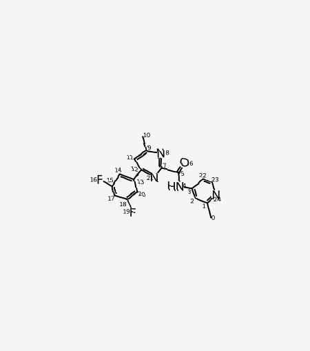 Cc1cc(NC(=O)c2nc(C)cc(-c3cc(F)cc(F)c3)n2)ccn1